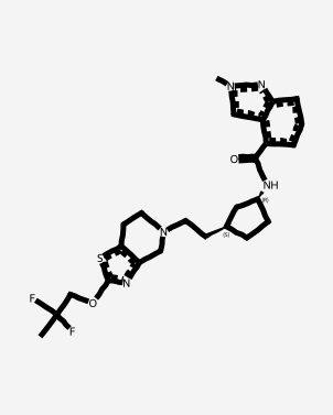 Cn1cc2c(C(=O)N[C@@H]3CC[C@@H](CCN4CCc5sc(OCC(C)(F)F)nc5C4)C3)cccc2n1